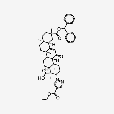 CCOC(=O)c1cnn([C@H]2CC[C@@]3(C)[C@@H](CC[C@]4(C)[C@@H]3C(=O)C=C3[C@@H]5C[C@@](C)(C(=O)OC(c6ccccc6)c6ccccc6)CC[C@]5(C)CC[C@]34C)[C@]2(C)C(=O)O)c1